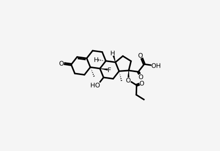 CCC(=O)O[C@]1(C(=O)C(=O)O)CC[C@H]2[C@@H]3CCC4=CC(=O)CC[C@]4(C)[C@@]3(F)C(O)C[C@@]21C